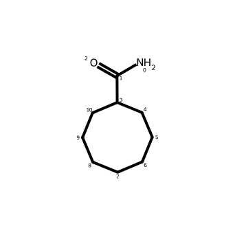 NC(=O)C1CCCCCCC1